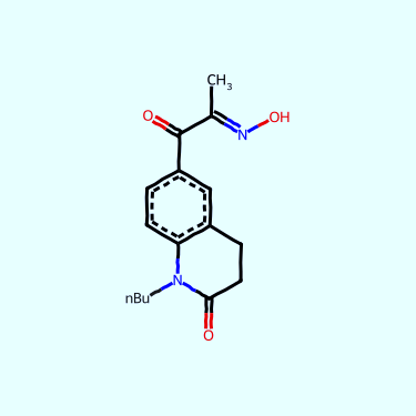 CCCCN1C(=O)CCc2cc(C(=O)C(C)=NO)ccc21